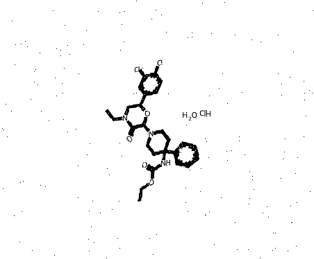 CCOC(=O)NC1(c2ccccc2)CCN(C2OC(c3ccc(Cl)c(Cl)c3)CN(CC)C2=O)CC1.Cl.O